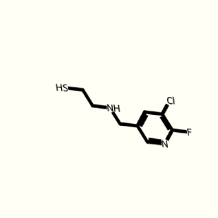 Fc1ncc(CNCCS)cc1Cl